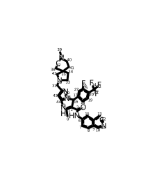 CC1=C(C(=O)Nc2ccc3cnccc3c2)C(c2ccc(C(F)(F)F)c(F)c2)n2nc(CN3CCC4(CCN(C)CC4)C3)cc2N1